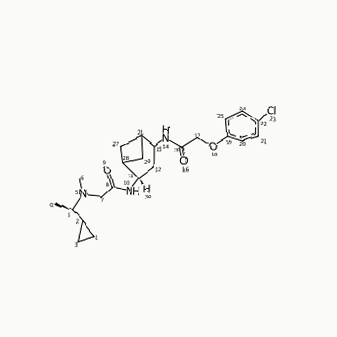 C[C@H](C1CC1)N(C)CC(=O)N[C@H]1CC(NC(=O)COc2ccc(Cl)cc2)C2CC1C2